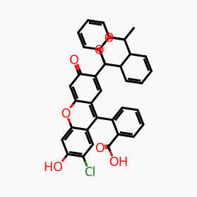 CC12OOC(c3cc4c(-c5ccccc5C(=O)O)c5cc(Cl)c(O)cc5oc-4cc3=O)(C3C=CC=CC31)C1C=CC=CC12